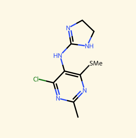 CSc1nc(C)nc(Cl)c1NC1=NCCN1